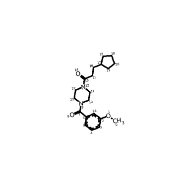 COc1cccc(C(=O)N2CCN(C(=O)CCC3CCCC3)CC2)c1